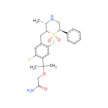 C[C@@H]1NC[C@@H](c2ccccc2)S(=O)(=O)C1Cc1cc(F)c(C(C)(C)OCC(N)=O)cc1F